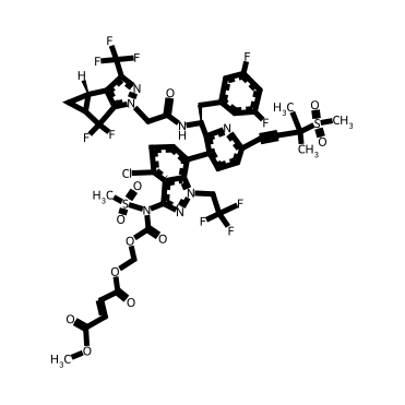 COC(=O)/C=C/C(=O)OCOC(=O)N(c1nn(CC(F)(F)F)c2c(-c3ccc(C#CC(C)(C)S(C)(=O)=O)nc3[C@H](Cc3cc(F)cc(F)c3)NC(=O)Cn3nc(C(F)(F)F)c4c3C(F)(F)C3C[C@H]43)ccc(Cl)c12)S(C)(=O)=O